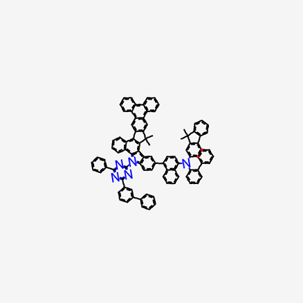 CC1(C)c2ccccc2-c2ccc(N(c3ccccc3-c3ccccc3)c3ccc(-c4ccc5c(c4)c4c6c(c7ccccc7c4n5-c4nc(-c5ccccc5)nc(-c5cccc(-c7ccccc7)c5)n4)-c4cc5c7ccccc7c7ccccc7c5cc4C6(C)C)c4ccccc34)cc21